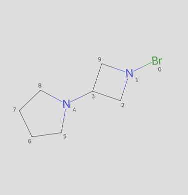 BrN1CC(N2CCCC2)C1